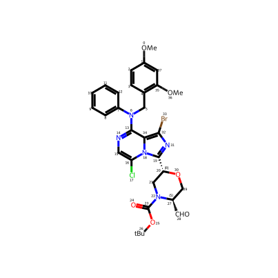 COc1ccc(CN(c2ccccc2)c2ncc(Cl)n3c([C@H]4CN(C(=O)OC(C)(C)C)[C@H](C=O)CO4)nc(Br)c23)c(OC)c1